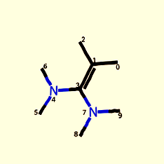 CC(C)=C(N(C)C)N(C)C